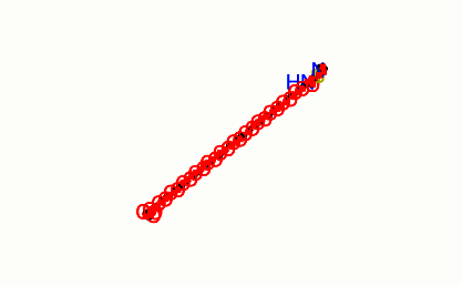 O=C(CCSSc1ccccn1)NCCOCCOCCOCCOCCOCCOCCOCCOCCOCCOCCOCCOCCOCCOCCOCCOCCOCCOCCOCCOCCOCCOCCOCCOCCC(=O)OC1C(=O)CCC1=O